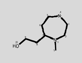 CN1CC[N]CCC1CCO